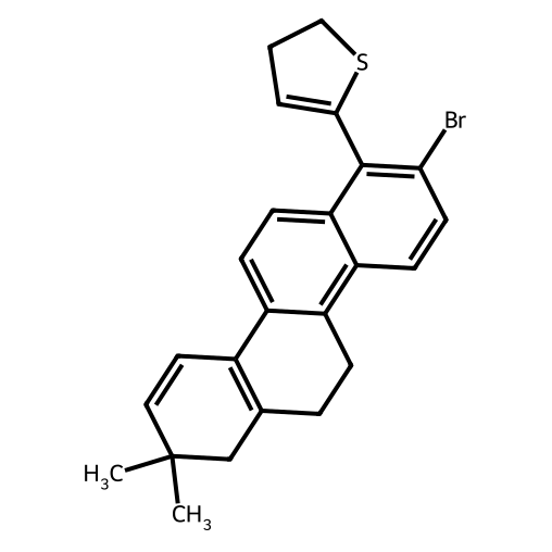 CC1(C)C=CC2=C(CCc3c2ccc2c(C4=CCCS4)c(Br)ccc32)C1